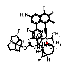 [2H]C([2H])(Oc1nc(N2CCCC[C@H]3[C@H](F)[C@H]32)c2cnc(-c3cc(N)cc4c(F)c(F)c(F)c(C#C[Si](C(C)C)(C(C)C)C(C)C)c34)c(F)c2n1)[C@@]12CCCN1C[C@H](F)C2